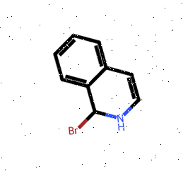 BrC1N[C]=Cc2ccccc21